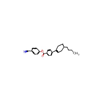 CCCCC1CC=C(c2ccc(C(=O)Oc3ccc(C#N)cc3)cc2)CC1